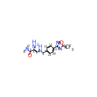 CN(C)C(=O)/C(N)=C/NCc1ccc(-c2noc(C(F)(F)F)n2)cc1